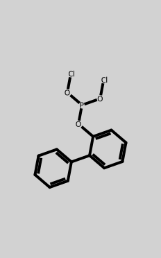 ClOP(OCl)Oc1ccccc1-c1ccccc1